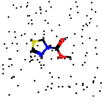 COC(=O)N1CSC=N1